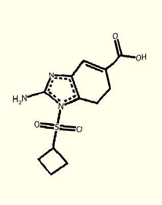 Nc1nc2c(n1S(=O)(=O)C1CCC1)CCC(C(=O)O)=C2